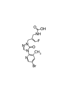 Cc1cc(Br)cnc1-n1cnn(CC(=CF)CNC(=O)O)c1=O